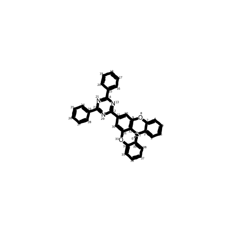 S=P12c3ccccc3Oc3cc(-c4nc(-c5ccccc5)nc(-c5ccccc5)n4)cc(c31)Oc1ccccc12